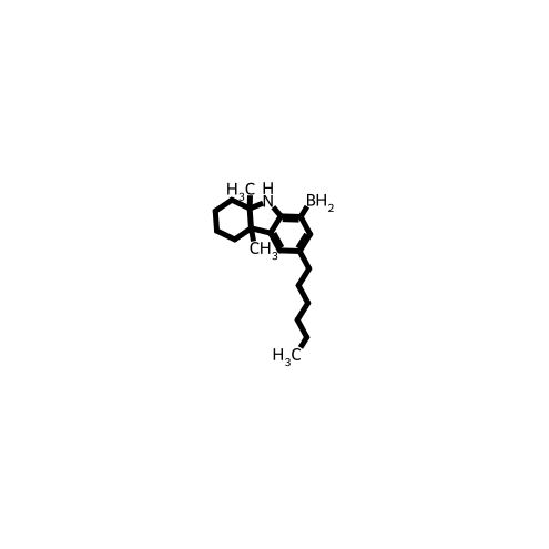 Bc1cc(CCCCCC)cc2c1NC1(C)CCCCC21C